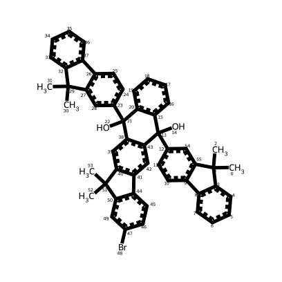 CC1(C)c2ccccc2-c2ccc(C3(O)c4ccccc4C(O)(c4ccc5c(c4)C(C)(C)c4ccccc4-5)c4cc5c(cc43)-c3ccc(Br)cc3C5(C)C)cc21